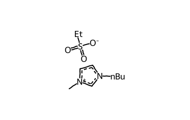 CCCCn1cc[n+](C)c1.CCS(=O)(=O)[O-]